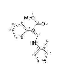 COC(=O)C(=CNc1ccccc1C)c1ccccc1